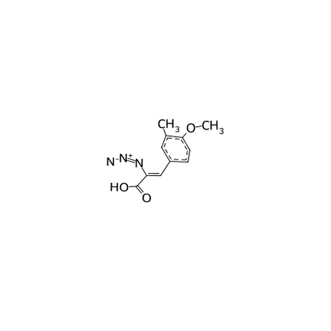 COc1ccc(C=C(N=[N+]=[N-])C(=O)O)cc1C